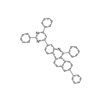 c1ccc(-c2ccc3c(ccc4c5ccc(-c6cc(-c7ccccc7)nc(-c7ccccc7)n6)cc5nc(-c5ccccc5)c34)c2)cc1